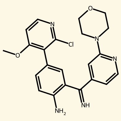 COc1ccnc(Cl)c1-c1ccc(N)c(C(=N)c2ccnc(N3CCOCC3)c2)c1